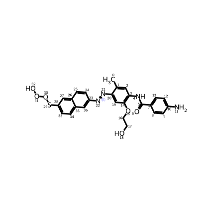 Cc1cc(NC(=O)c2ccc(N)cc2)c(OCCO)cc1/N=N/c1ccc2cc(SOOO)ccc2c1